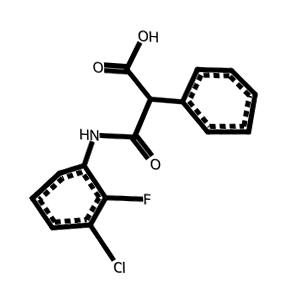 O=C(O)C(C(=O)Nc1cccc(Cl)c1F)c1ccccc1